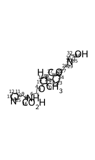 Cc1c(OCCCNC(Cc2cccnc2)C(=O)O)cccc1-c1cccc(OCCCN2CCC(O)C2)c1C